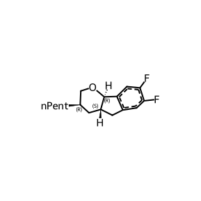 CCCCC[C@H]1CO[C@H]2c3cc(F)c(F)cc3C[C@@H]2C1